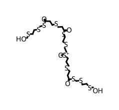 O=C(CCSCCC(=O)SCSCCSCO)SCCSCC[S+]([O-])CCCSCCC(=O)SCSCCSCO